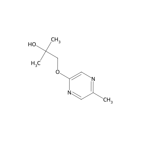 Cc1cnc(OCC(C)(C)O)cn1